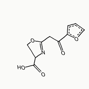 O=C(CC1=NC(C(=O)O)CO1)c1ccco1